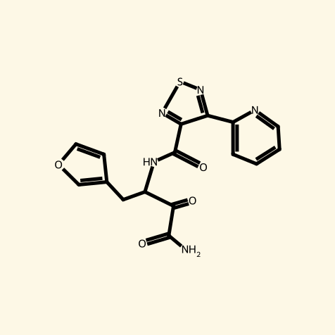 NC(=O)C(=O)C(Cc1ccoc1)NC(=O)c1nsnc1-c1ccccn1